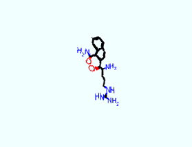 N=C(N)NCCC[C@H](N)C(=O)c1ccc2ccccc2c1C(N)=O